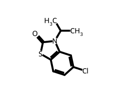 CC(C)n1c(=O)sc2ccc(Cl)cc21